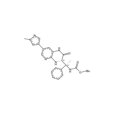 Cn1cc(-c2cnc3c(c2)NC(=O)[C@H]([C@@](C)(NC(=O)OC(C)(C)C)c2ccccc2)N3)cn1